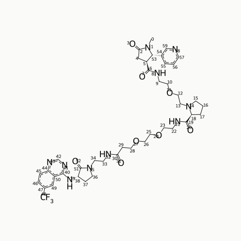 CN1C(=O)C[C@H](C(=O)NCCOCCN2CCC[C@H]2C(=O)NCCOCCOCCC(=O)NCCN2CC[C@H](Nc3ncnc4ccc(C(F)(F)F)cc34)C2=O)[C@H]1c1cccnc1